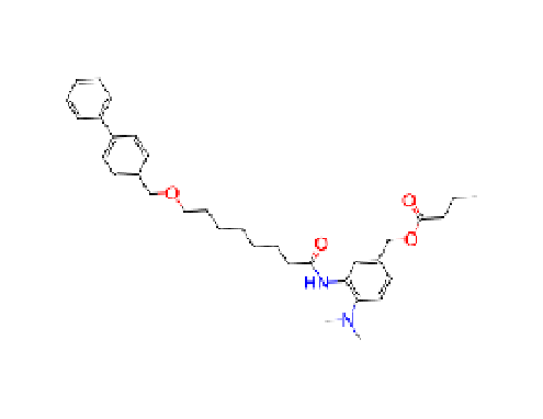 CCCC(=O)OCc1ccc(N(C)C)c(NC(=O)CCCCCCCOCc2ccc(-c3ccccc3)cc2)c1